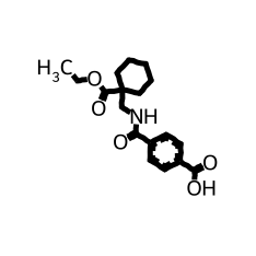 CCOC(=O)C1(CNC(=O)c2ccc(C(=O)O)cc2)CCCCC1